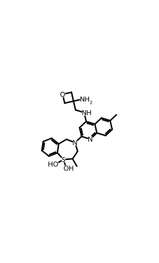 Cc1ccc2nc(N3Cc4ccccc4S(O)(O)C(C)C3)cc(NCC3(N)COC3)c2c1